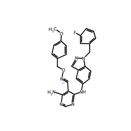 COc1ccc(CO/N=C/c2c(N)ncnc2Nc2ccc3c(cnn3Cc3cccc(F)c3)c2)cc1